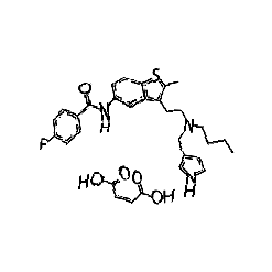 CCCCN(CCc1c(C)sc2ccc(NC(=O)c3ccc(F)cc3)cc12)Cc1cc[nH]c1.O=C(O)/C=C\C(=O)O